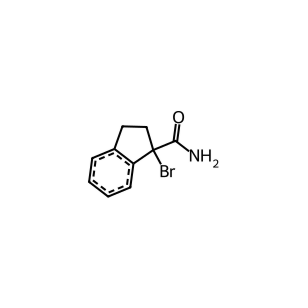 NC(=O)C1(Br)CCc2ccccc21